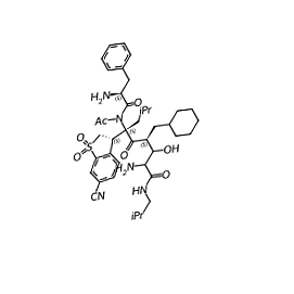 CC(=O)N(C(=O)[C@@H](N)Cc1ccccc1)[C@](CC(C)C)(C(=O)[C@@H](CC1CCCCC1)C(O)C(N)C(=O)NCC(C)C)[C@H]1CS(=O)(=O)c2cc(C#N)ccc21